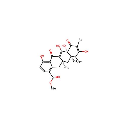 CCCCOC(=O)c1ccc(O)c2c1C[C@]1(C)C[C@]3(C)C(C(C)C)C(O)=C(C(C)=O)C(=O)[C@]3(O)C(O)=C1C2=O